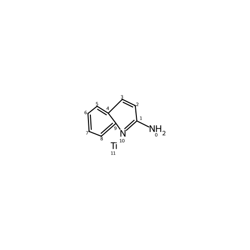 Nc1ccc2ccccc2n1.[Ti]